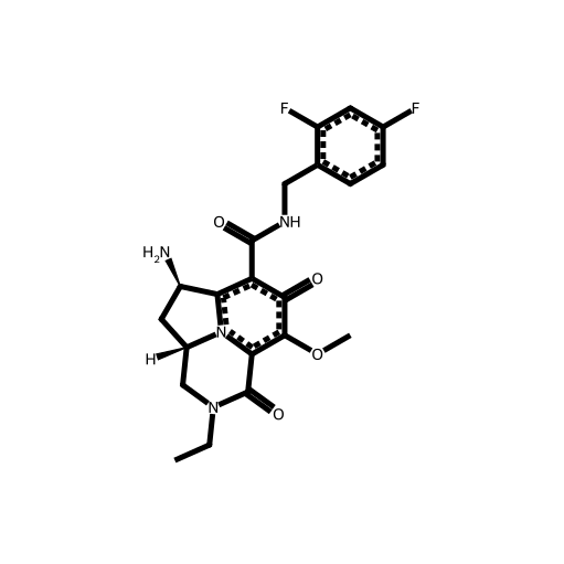 CCN1C[C@@H]2C[C@@H](N)c3c(C(=O)NCc4ccc(F)cc4F)c(=O)c(OC)c(n32)C1=O